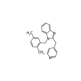 Cc1ccc(C)c(Cn2c(Cc3ccncc3)nc3ccccc32)c1